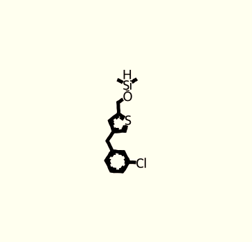 C[SiH](C)OCc1cc(Cc2cccc(Cl)c2)cs1